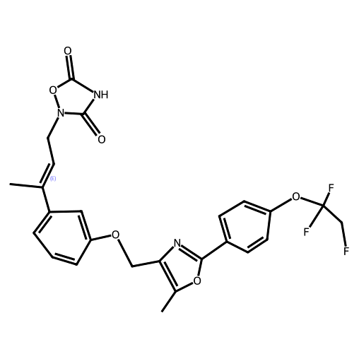 C/C(=C\Cn1oc(=O)[nH]c1=O)c1cccc(OCc2nc(-c3ccc(OC(F)(F)CF)cc3)oc2C)c1